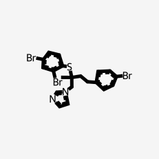 CC(CCc1ccc(Br)cc1)(Cn1ccnc1)Sc1ccc(Br)cc1Br